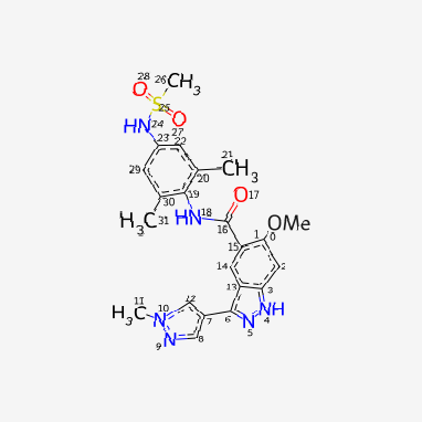 COc1cc2[nH]nc(-c3cnn(C)c3)c2cc1C(=O)Nc1c(C)cc(NS(C)(=O)=O)cc1C